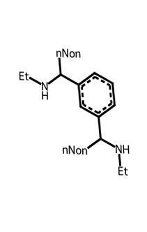 CCCCCCCCCC(NCC)c1cccc(C(CCCCCCCCC)NCC)c1